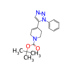 CC(C)(C)OC(=O)N1CC=C(c2cnnn2-c2ccccc2)CC1